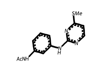 CSc1ccnc(Nc2cccc(NC(C)=O)c2)n1